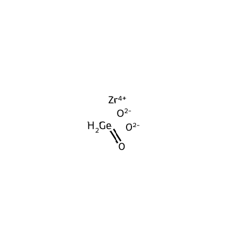 [O-2].[O-2].[O]=[GeH2].[Zr+4]